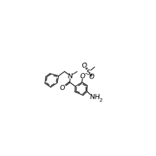 CN(Cc1ccccc1)C(=O)c1ccc(N)cc1OS(C)(=O)=O